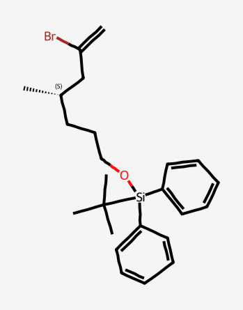 C=C(Br)C[C@@H](C)CCCO[Si](c1ccccc1)(c1ccccc1)C(C)(C)C